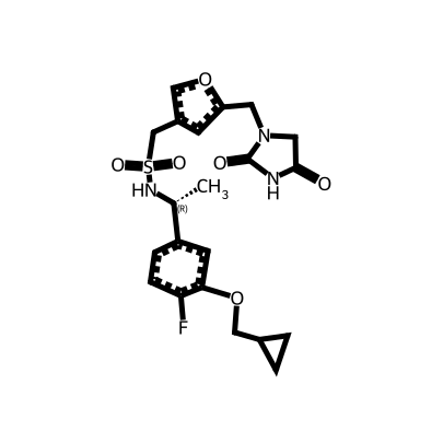 C[C@@H](NS(=O)(=O)Cc1coc(CN2CC(=O)NC2=O)c1)c1ccc(F)c(OCC2CC2)c1